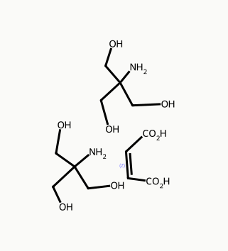 NC(CO)(CO)CO.NC(CO)(CO)CO.O=C(O)/C=C\C(=O)O